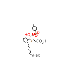 CCCCCCC=CCCCCc1ccccc1C(SCCC(=O)O)C(O)COS(=O)(=O)c1ccc(C)cc1